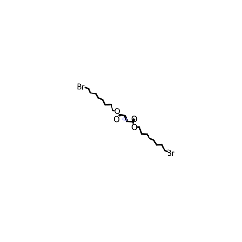 O=C(/C=C/C(=O)OCCCCCCCCBr)OCCCCCCCCBr